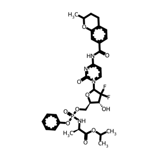 CC(C)OC(=O)[C@@H](C)NP(=O)(OC[C@H]1OC(n2ccc(NC(=O)c3ccc4c(c3)OC(C)CC4)nc2=O)C(F)(F)[C@@H]1O)Oc1ccccc1